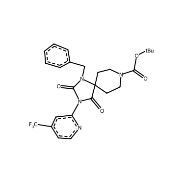 CC(C)(C)OC(=O)N1CCC2(CC1)C(=O)N(c1cc(C(F)(F)F)ccn1)C(=O)N2Cc1ccccc1